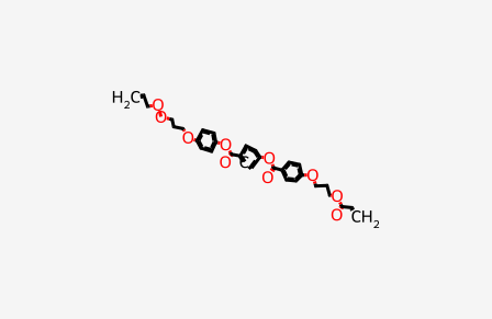 C=CCOOCCCOc1ccc(OC(=O)c2ccc(OC(=O)c3ccc(OCCCOC(=O)C=C)cc3)cc2)cc1